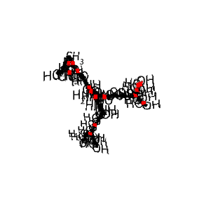 CC(COCC(O)COCC(O)COC(=O)NCCNC(=O)C[C@@H](N)C(=O)N[C@@H](CC(=O)NCCNC(O)OCC(O)COCC(O)COCC(O)CN(C[C@H](C)[C@@H](O)[C@H](O)CCO)C[C@H](O)[C@@H](O)[C@H](O)[C@H](O)CO)C(=O)NCCNC(=O)OCC(O)COCC(O)COCC(O)CN(C[C@H](O)[C@@H](O)[C@H](O)[C@H](O)CO)C[C@H](O)[C@@H](O)[C@H](O)CCO)CN(CCCC[C@H](C)CO)CCCC[C@H](O)CO